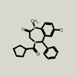 CN1C(=O)CN(C(=O)C2CCCC2)C(c2ccccc2)c2cc(Cl)ccc21